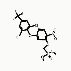 COP(=O)(CSc1cc(Oc2c(Cl)cc(C(F)(F)F)cc2Cl)ccc1[N+](=O)[O-])OC